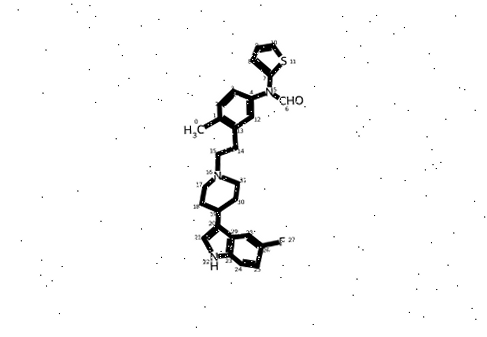 Cc1ccc(N(C=O)c2cccs2)cc1CCN1CCC(c2c[nH]c3ccc(F)cc23)CC1